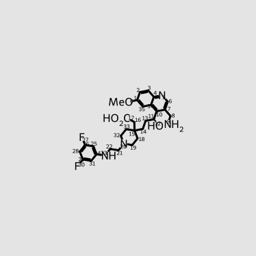 COc1ccc2ncc(CN)c([C@@H](O)CCC3(CC(=O)O)CCN(CCNc4cc(F)cc(F)c4)CC3)c2c1